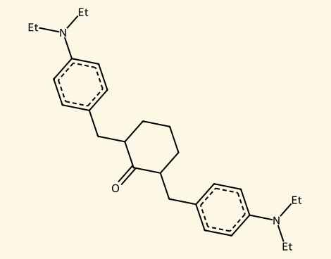 CCN(CC)c1ccc(CC2CCCC(Cc3ccc(N(CC)CC)cc3)C2=O)cc1